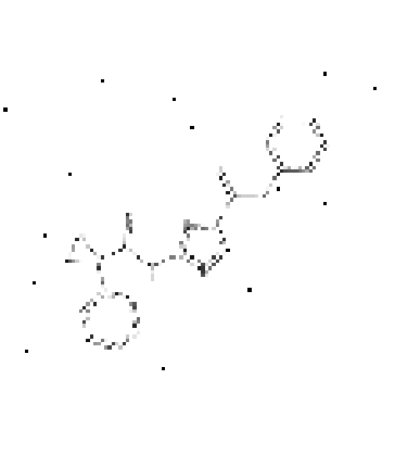 O=C(Cc1ccccc1)c1cnc(NC(=O)C2(c3ccccc3)CC2)s1